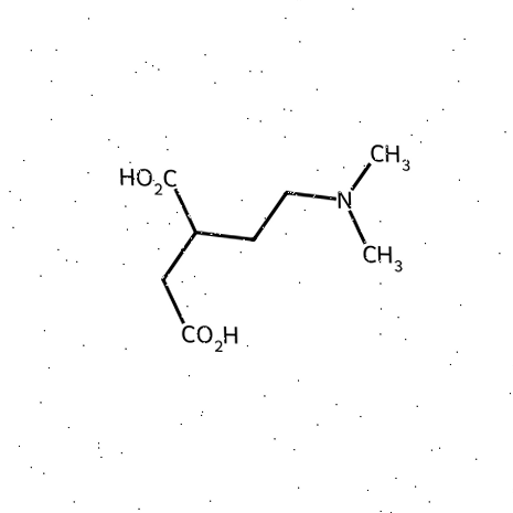 CN(C)CCC(CC(=O)O)C(=O)O